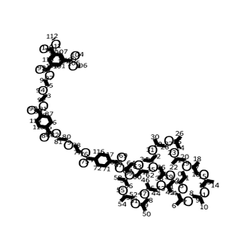 CCCOCC(C)OCC(C)OCC(C)OCC(C)OCC(C)OCC(C)OCC(C)OCC(C)OCC(C)OCC(C)OCC(C)OCC(C)OCC(C)OCC(C)OCC(C)OCC(C)OC(=O)C1CCC(C(=O)OCCOCCOC(=O)C2CCC(C(=O)OCCOCCOC(=O)c3cc(C(=O)OC)cc(C(=O)OC)c3)CC2)CC1